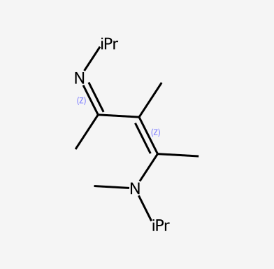 CC(=N/C(C)C)/C(C)=C(/C)N(C)C(C)C